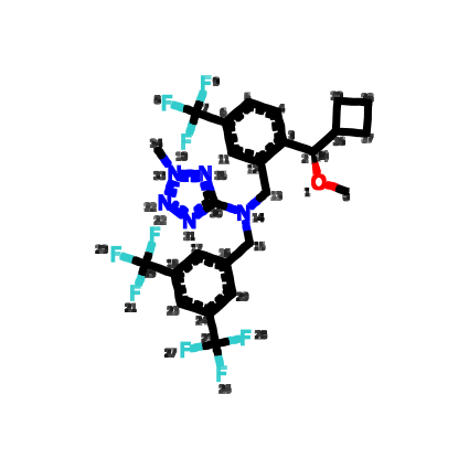 CO[C@@H](c1ccc(C(F)(F)F)cc1CN(Cc1cc(C(F)(F)F)cc(C(F)(F)F)c1)c1nnn(C)n1)C1CCC1